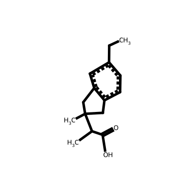 CCc1ccc2c(c1)CC(C)(C(C)C(=O)O)C2